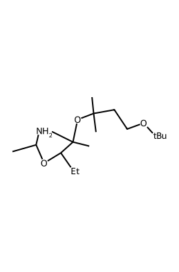 CCC(OC(C)N)C(C)(C)OC(C)(C)CCOC(C)(C)C